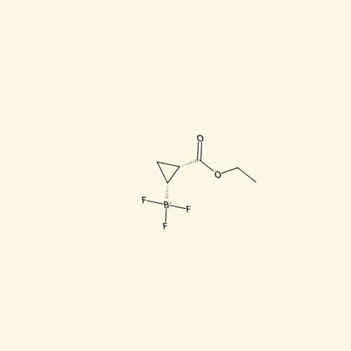 CCOC(=O)[C@H]1C[C@H]1[B-](F)(F)F